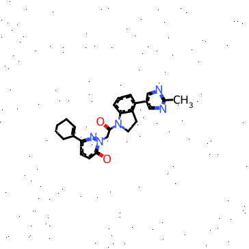 Cc1ncc(-c2cccc3c2CCN3C(=O)Cn2nc(C3=CCCCC3)ccc2=O)cn1